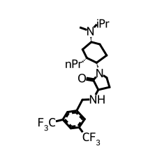 CCC[C@@H]1C[C@H](N(C)C(C)C)CC[C@@H]1N1CCC(NCc2cc(C(F)(F)F)cc(C(F)(F)F)c2)C1=O